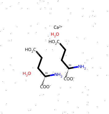 N[C@@H](CCC(=O)O)C(=O)[O-].N[C@@H](CCC(=O)O)C(=O)[O-].O.O.[Ca+2]